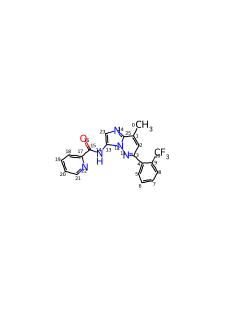 Cc1cc(-c2ccccc2C(F)(F)F)nn2c(NC(=O)c3ccccn3)cnc12